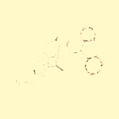 CC(C#N)C(=O)N[C@@H]1C(=O)N2[C@@H](C(=O)OC(c3ccccc3)c3ccccc3)C(=O)CS[C@@H]12